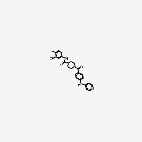 Cc1ccc(NC(=O)N2CCN(C(=O)c3ccc(N(C)c4ccncc4)cc3)CC2)cc1Cl